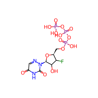 O=c1cnn([C@H]2O[C@@H](COP(=O)(O)OP(=O)(O)OP(=O)(O)O)C(F)C2O)c(=O)[nH]1